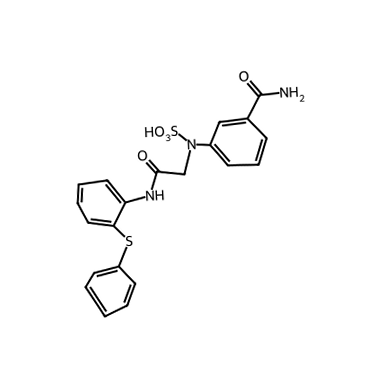 NC(=O)c1cccc(N(CC(=O)Nc2ccccc2Sc2ccccc2)S(=O)(=O)O)c1